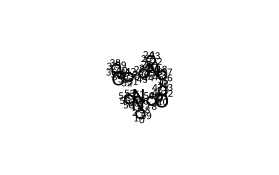 c1ccc(-n2c(-c3ccc4oc5ccc(-c6cccc(-n7c8ccccc8c8cc(-c9ccc%10oc%11ccccc%11c%10c9)ccc87)c6)cc5c4c3)nc3ccccc32)cc1